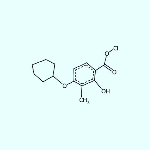 Cc1c(OC2CCCCC2)ccc(C(=O)OCl)c1O